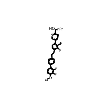 CCCC(O)c1ccc(-c2ccc(CCc3ccc(-c4ccc(OCC)c(F)c4F)cc3)c(F)c2F)cn1